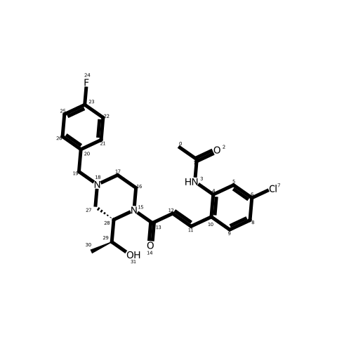 CC(=O)Nc1cc(Cl)ccc1/C=C/C(=O)N1CCN(Cc2ccc(F)cc2)C[C@H]1[C@H](C)O